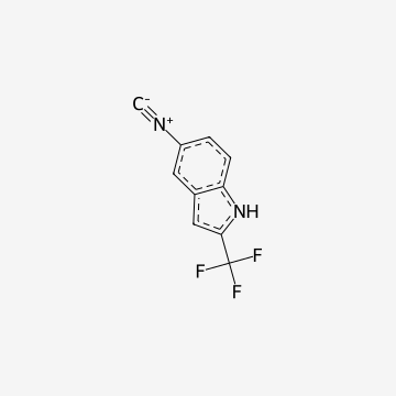 [C-]#[N+]c1ccc2[nH]c(C(F)(F)F)cc2c1